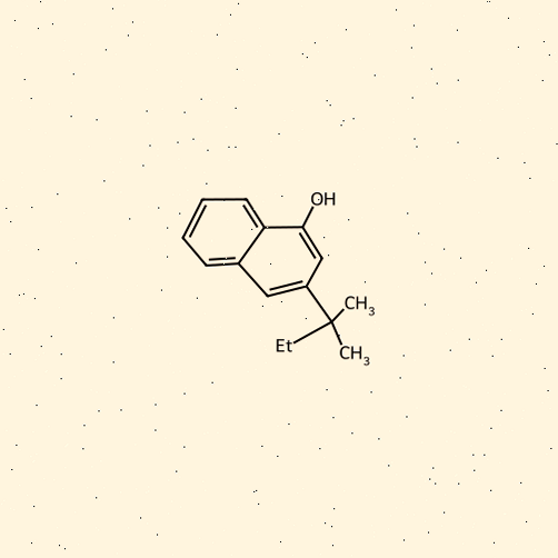 CCC(C)(C)c1cc(O)c2ccccc2c1